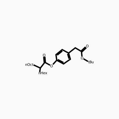 CCCCCCCCC(CCCCCC)C(=O)Oc1ccc(CC(=O)OC(C)(C)C)cc1